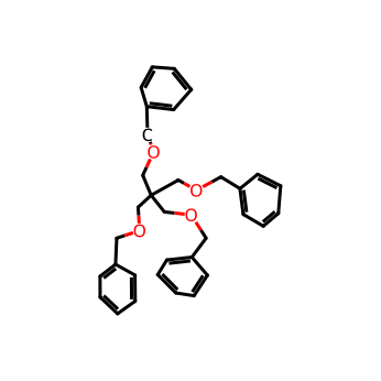 c1ccc(COCC(COCc2ccccc2)(COCc2ccccc2)COCc2ccccc2)cc1